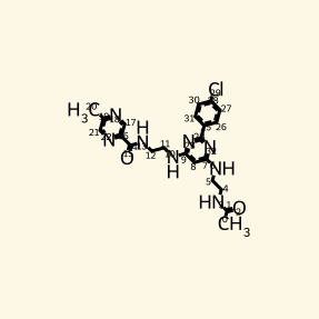 CC(=O)NCCNc1cc(NCCNC(=O)c2cnc(C)cn2)nc(-c2ccc(Cl)cc2)n1